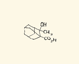 CC1(O)C2CC3CC(C2)CC1(C(=O)O)C3